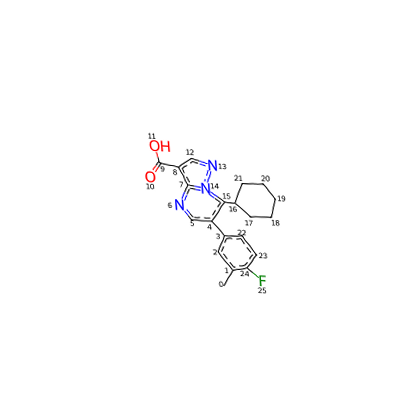 Cc1cc(-c2cnc3c(C(=O)O)cnn3c2C2CCCCC2)ccc1F